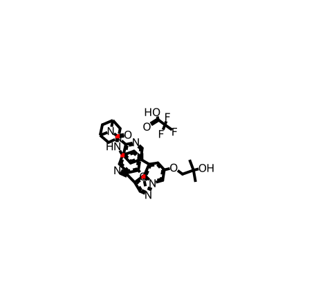 COc1ccc(NC(=O)N2C3CC2CN(c2ccc(-c4cc(OCC(C)(C)O)cn5ncc(C#N)c45)cn2)C3)cn1.O=C(O)C(F)(F)F